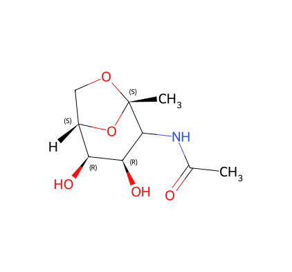 CC(=O)NC1[C@@H](O)[C@@H](O)[C@@H]2CO[C@@]1(C)O2